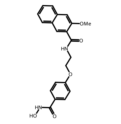 COc1cc2ccccc2cc1C(=O)NCCOc1ccc(C(=O)NO)cc1